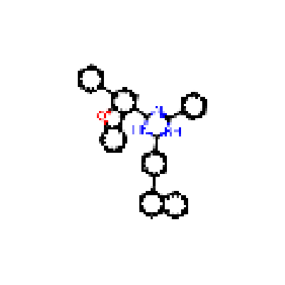 c1ccc(C2=NC(c3ccc(-c4ccccc4)c4oc5ccccc5c34)NC(c3ccc(-c4cccc5ccccc45)cc3)N2)cc1